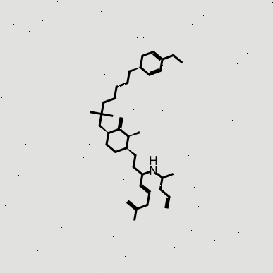 C=CCC(C)NC(C=CCC(=C)C)CC[C@H]1CC[C@@H](CC(C)(C)CCCCC[C@@H]2C=CC(CC)=CC2)C(=C)[C@H]1C